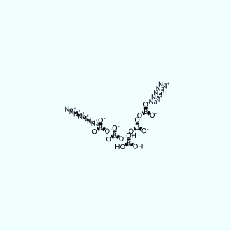 OB(O)O.[Na+].[Na+].[Na+].[Na+].[Na+].[Na+].[Na+].[Na+].[Na+].[Na+].[Na+].[Na+].[O-]B([O-])[O-].[O-]B([O-])[O-].[O-]B([O-])[O-].[O-]B([O-])[O-]